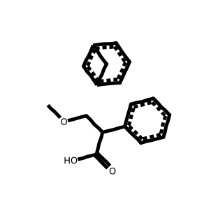 COCC(C(=O)O)c1ccccc1.c1cc2cc(c1)C2